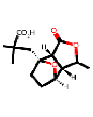 CC1OC(=O)[C@@H]2[C@H]1[C@H]1CC[C@]2(CC(C)(C)C(=O)O)O1